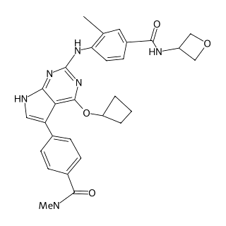 CNC(=O)c1ccc(-c2c[nH]c3nc(Nc4ccc(C(=O)NC5COC5)cc4C)nc(OC4CCC4)c23)cc1